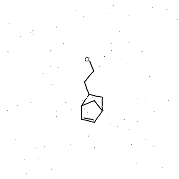 ClCCC1CC2C=CC1C2